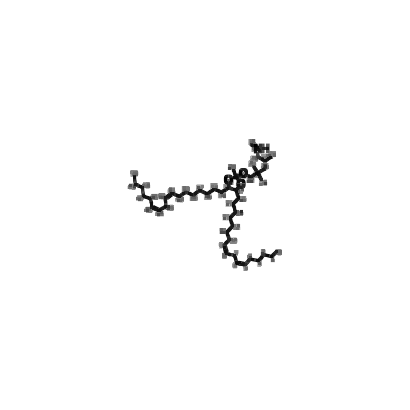 CCCCC/C=C\C/C=C\CCCCCCCC1OC(C)(OCC(C)(C)CC(C)CNC)OC1CCCCCCC/C=C\C/C=C\CCCCC